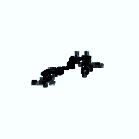 COC(=O)N[C@H](C(=O)N1[C@@H]2CC2C[C@H]1c1nc2ccc(CCc3ccc4c(ccc5[nH]c([C@@H]6C[C@H]7C[C@H]7N6C(=O)[C@@H](NC(=O)OC)C6CCOCC6)nc54)c3)cc2[nH]1)C(C)C